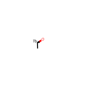 CC=O.[Tb]